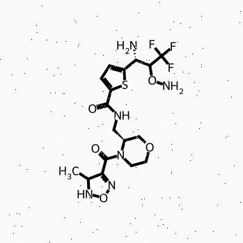 CC1NON=C1C(=O)N1CCOC[C@@H]1CNC(=O)c1ccc([C@H](N)C(ON)C(F)(F)F)s1